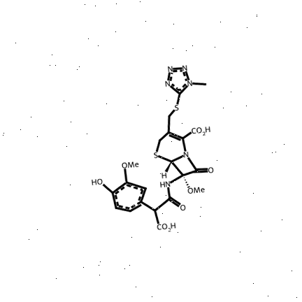 COc1cc(C(C(=O)O)C(=O)N[C@]2(OC)C(=O)N3C(C(=O)O)=C(CSc4nnnn4C)CS[C@H]32)ccc1O